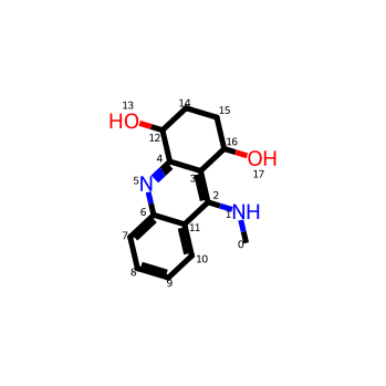 CNc1c2c(nc3ccccc13)C(O)CCC2O